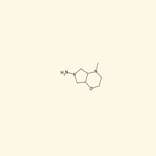 CN1CCOC2CN(N)CC21